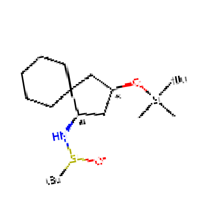 CC(C)(C)[S+]([O-])N[C@@H]1C[C@H](O[Si](C)(C)C(C)(C)C)CC12CCCCC2